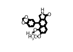 COc1ccc2cc3c(c(-c4ccc5c(c4)OCO5)c2c1OC)CNC3=O